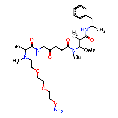 CCCCN(C(=O)CCC(=O)CNC(=O)C(C(C)C)N(C)CCOCCOCCON)C(OC)C(C)C(=O)NC(C)Cc1ccccc1